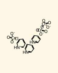 [O]=[Cr](=[O])([O-])[Cl].[O]=[Cr](=[O])([O-])[O][Cr](=[O])(=[O])[O-].c1cc[nH+]cc1.c1cc[nH+]cc1.c1cc[nH+]cc1